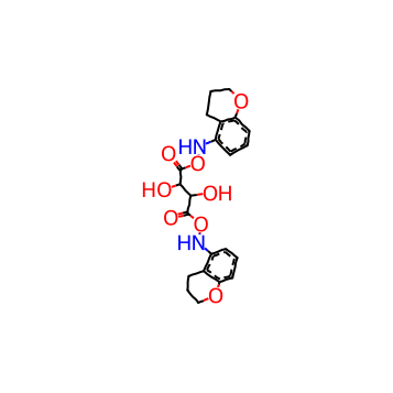 O=C(ONc1cccc2c1CCCO2)C(O)C(O)C(=O)ONc1cccc2c1CCCO2